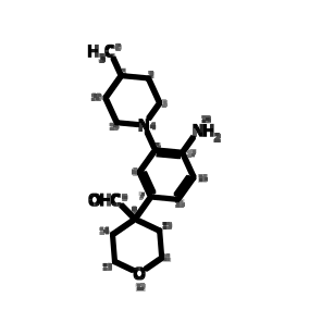 CC1CCN(c2cc(C3(C=O)CCOCC3)ccc2N)CC1